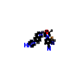 C[C@@H]1CN(c2ccc(C#N)c3ncsc23)C[C@H](CN2CCc3cc(N4CCNCC4)ccc3C2)O1